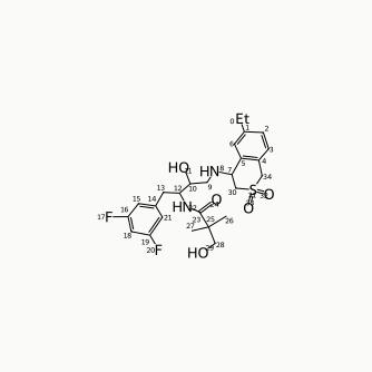 CCc1ccc2c(c1)C(NCC(O)C(Cc1cc(F)cc(F)c1)NC(=O)C(C)(C)CO)CS(=O)(=O)C2